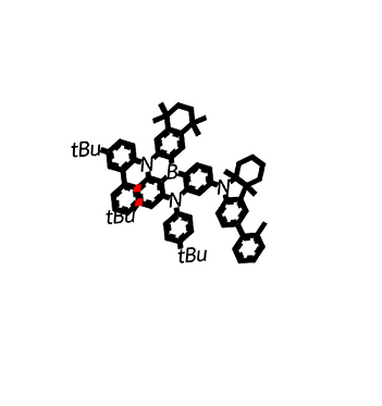 Cc1ccccc1-c1ccc2c(c1)C1(C)CCCCC1(C)N2c1ccc2c(c1)N(c1ccc(C(C)(C)C)cc1)c1cc(C(C)(C)C)cc3c1B2c1cc2c(cc1N3c1ccc(C(C)(C)C)cc1-c1ccccc1)C(C)(C)CCC2(C)C